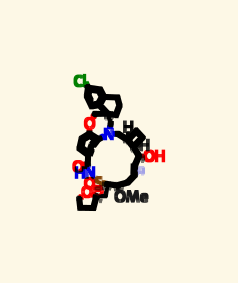 CO[C@@H]1C/C=C/[C@H](O)[C@@H]2CC[C@H]2CN2C[C@@]3(CCCc4cc(Cl)ccc43)COc3ccc(cc32)C(=O)NS(=O)(=O)[C@@H]1C[C@H]1CCCO1